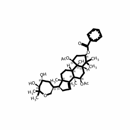 CC(=O)O[C@H]1C[C@@H](OC(=O)c2ccccc2)C(C)(C)[C@@H]2C[C@@H](OC(C)=O)[C@@]3(C)C4=CC[C@@H]([C@H]5COC(C)(C)[C@@H](O)[C@H](O)C5)[C@]4(C)CC[C@@H]3[C@@]12C